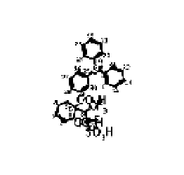 O=C(O)C1C=CCCC1(C(=O)O)C(C(F)(F)F)C(F)(F)S(=O)(=O)O.c1ccc([S+](c2ccccc2)c2ccccc2)cc1